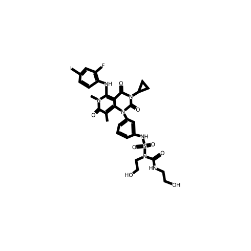 Cc1c(=O)n(C)c(Nc2ccc(I)cc2F)c2c(=O)n(C3CC3)c(=O)n(-c3cccc(NS(=O)(=O)N(CCO)C(=O)NCCO)c3)c12